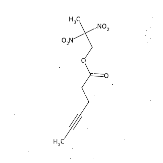 CC#CCCC(=O)OCC(C)([N+](=O)[O-])[N+](=O)[O-]